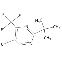 CC(C)(C)c1n[c]c(Cl)c(C(F)(F)F)n1